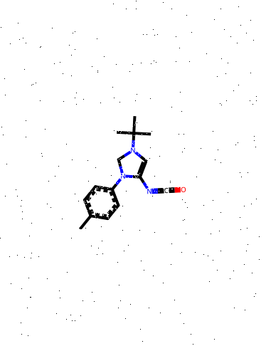 Cc1ccc(N2CN(C(C)(C)C)C=C2N=C=O)cc1